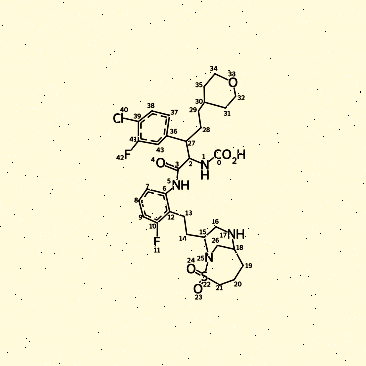 O=C(O)NC(C(=O)Nc1cccc(F)c1CCC1CNC2CCCS(=O)(=O)N1C2)C(CCC1CCOCC1)c1ccc(Cl)c(F)c1